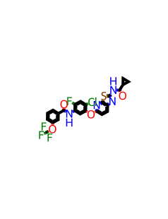 O=C(Nc1cc(Oc2ccc3nc(NC(=O)C4CC4)sc3n2)c(Cl)cc1F)c1cccc(OC(F)(F)F)c1